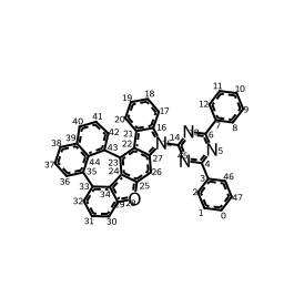 c1ccc(-c2nc(-c3ccccc3)nc(-n3c4ccccc4c4c5c6c(cc43)oc3cccc(c36)-c3cccc4cccc-5c34)n2)cc1